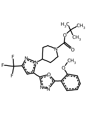 COc1ccccc1-c1nnc(-c2cc(C(F)(F)F)nn2C2CCN(C(=O)OC(C)(C)C)CC2)o1